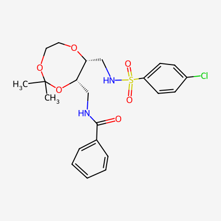 CC1(C)OCCO[C@H](CNS(=O)(=O)c2ccc(Cl)cc2)[C@H](CNC(=O)c2ccccc2)O1